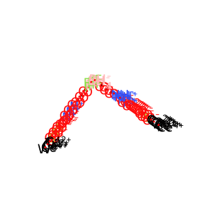 CC(=O)[O-].CC(=O)[O-].CC(=O)[O-].CC(=O)[O-].CC(=O)[O-].CC(=O)[O-].F[B-](F)(F)F.F[B-](F)(F)F.O=S(=O)([O-])[O-].O=S(=O)([O-])[O-].O=S(=O)([O-])[O-].O=S(=O)([O-])[O-].O=S(=O)([O-])[O-].O=[N+]([O-])[O-].O=[N+]([O-])[O-].O=[N+]([O-])[O-].O=[N+]([O-])[O-].O=[N+]([O-])[O-].[BH4-].[BH4-].[Ca+2].[Ca+2].[Ca+2].[Ca+2].[Ca+2].[Ce+3].[Ce+3].[Ce+3].[Ce+4].[Ce+4].[Ce+4].[NH2-].[NH2-].[NH4+].[O-2].[O-2].[O-2].[O-2].[O-2].[O-2].[O-2].[O-2].[O-2].[O-2].[Ti+4].[W+6].[Zr+4]